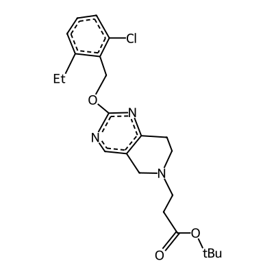 CCc1cccc(Cl)c1COc1ncc2c(n1)CCN(CCC(=O)OC(C)(C)C)C2